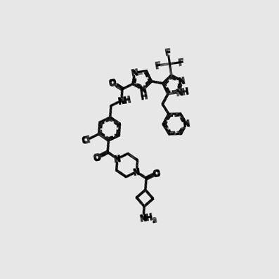 NC1CC(C(=O)N2CCN(C(=O)c3ccc(CNC(=O)c4ncc(-c5c(C(F)(F)F)n[nH]c5Cc5cccnc5)[nH]4)cc3Cl)CC2)C1